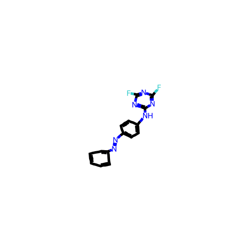 Fc1nc(F)nc(Nc2ccc(/N=N/c3ccccc3)cc2)n1